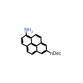 CCCCCCCCCCc1cc2ccc3ccc(N)c4ccc(c1)c2c34